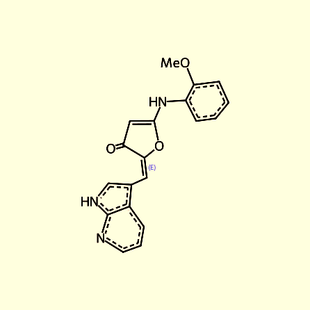 COc1ccccc1NC1=CC(=O)/C(=C\c2c[nH]c3ncccc23)O1